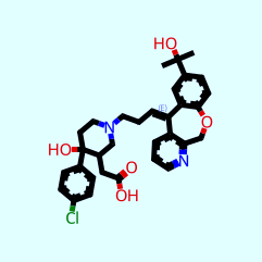 CC(C)(O)c1ccc2c(c1)/C(=C/CCN1CCC(O)(c3ccc(Cl)cc3)C(CC(=O)O)C1)c1cccnc1CO2